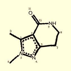 Cc1c2c(nn1C)CCNC2=O